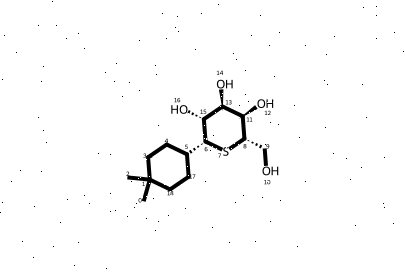 CC1(C)[CH]CC([C@H]2S[C@@H](CO)[C@H](O)[C@H](O)[C@H]2O)CC1